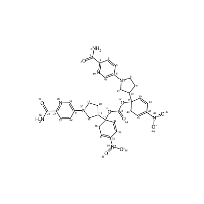 NC(=O)c1ccc(N2CCC(C3(OC(=O)OC4(C5CCN(c6ccc(C(N)=O)nc6)C5)C=CC([N+](=O)[O-])=CC4)C=CC([N+](=O)[O-])=CC3)C2)cn1